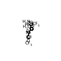 C[C@@]1(c2cc(-c3cc(-c4ccc(OCC(F)(F)F)cn4)no3)ccc2F)C[C@@H](C(F)(F)F)OC(N)N1